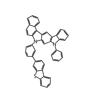 c1ccc(-n2c3ccccc3c3cc4c5c6ccccc6ccc5n(-c5cccc(-c6ccc7c(c6)sc6ccccc67)c5)c4cc32)cc1